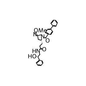 CON=C1C[C@@H](CCC(=O)NC[C@@H](O)c2ccccc2)N(C(=O)c2ccc(-c3ccccc3)cc2)C1